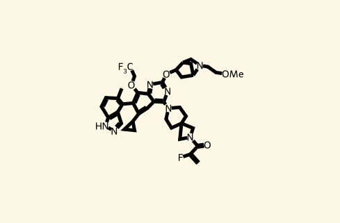 C=C(F)C(=O)N1CC2(CCN(c3nc(OC4CC5CC4CN5CCOC)nc4c(OCC(F)(F)F)c(-c5c(C)ccc6[nH]ncc56)c(C5CC5)cc34)CC2)C1